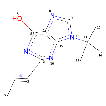 C/C=C/c1nc(O)c2ncn(C(C)(C)C)c2n1